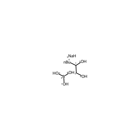 CCCCC(O)CO.OB(O)O.[NaH]